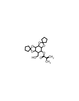 C=C(C)C(=O)OC1C(CO)C2OC3(CCCC3)OC2C2OC3(CCCC3)OC12